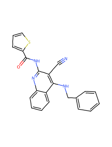 N#Cc1c(NC(=O)c2cccs2)nc2ccccc2c1NCc1ccccc1